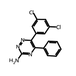 Nc1nnc(-c2cc(Cl)cc(Cl)c2)c(-c2ccccc2)n1